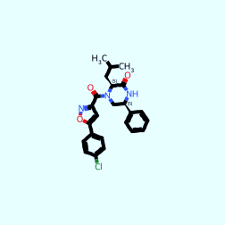 CC(C)C[C@H]1C(=O)N[C@@H](c2ccccc2)CN1C(=O)c1cc(-c2ccc(Cl)cc2)on1